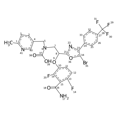 Cc1ccc(CN(CC(Oc2ccc(F)c(C(N)=O)c2F)c2nc(-c3ccc(C(F)(F)F)cc3)c(Br)o2)C(=O)O)cn1